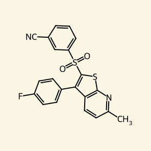 Cc1ccc2c(-c3ccc(F)cc3)c(S(=O)(=O)c3cccc(C#N)c3)sc2n1